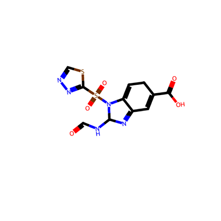 O=CNC1N=C2C=C(C(=O)O)CC=C2N1S(=O)(=O)c1nncs1